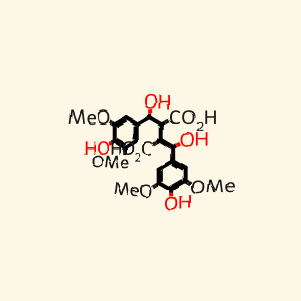 COc1cc(C(O)C(C(=O)O)C(C(=O)O)C(O)c2cc(OC)c(O)c(OC)c2)cc(OC)c1O